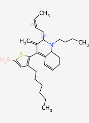 Bc1cc(CCCCCC)c(C2=C3C=CCCC3N(CCCC)/C(=C/C=C\C)C2=C)s1